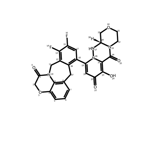 O=C1COc2cccc3c2N1Cc1c(F)c(F)cc(-c2cc(=O)c(O)c4n2N[C@@H]2COCCN2C4=O)c1C3